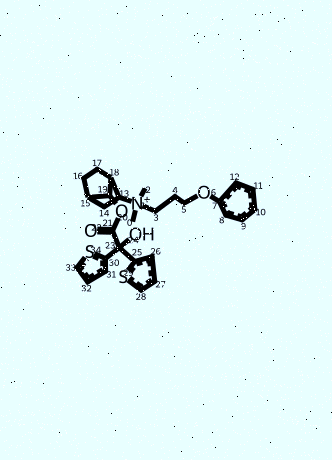 C[N+](C)(CCCOc1ccccc1)C1CC2CCC1C2OC(=O)C(O)(c1cccs1)c1cccs1